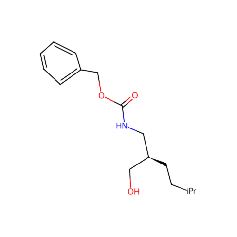 CC(C)CC[C@@H](CO)CNC(=O)OCc1ccccc1